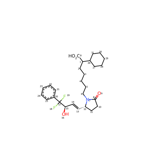 O=C(O)C(CCCCCN1C(=O)CC[C@@H]1/C=C/[C@@H](O)C(F)(F)c1ccccc1)C1CCCCC1